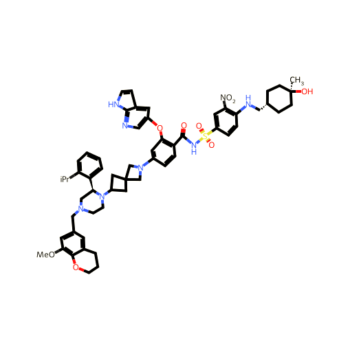 COc1cc(CN2CCN(C3CC4(C3)CN(c3ccc(C(=O)NS(=O)(=O)c5ccc(NC[C@H]6CC[C@](C)(O)CC6)c([N+](=O)[O-])c5)c(Oc5cnc6[nH]ccc6c5)c3)C4)[C@H](c3ccccc3C(C)C)C2)cc2c1OCCC2